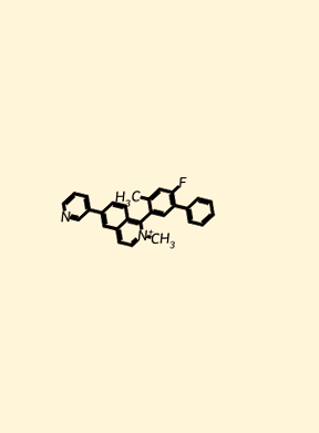 Cc1cc(F)c(-c2ccccc2)cc1-c1c2ccc(-c3cccnc3)cc2cc[n+]1C